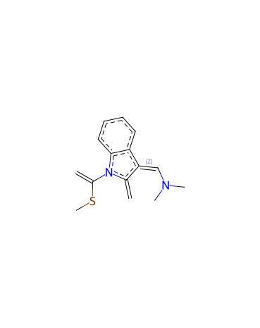 C=C(SC)n1c(=C)/c(=C\N(C)C)c2ccccc21